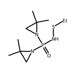 CCSNP(=O)(N1CC1(C)C)N1CC1(C)C